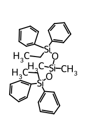 CC[Si](O[Si](C)(C)O[Si](CC)(c1ccccc1)c1ccccc1)(c1ccccc1)c1ccccc1